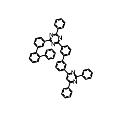 c1ccc(-c2cc(-c3cccc(-c4cccc(-c5nc(-c6ccccc6)nc(-c6cccc(-c7ccccc7-c7ccccc7)c6)n5)c4)c3)nc(-c3ccccc3)n2)cc1